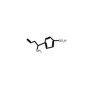 C=CCC([SiH3])c1ccc(S(=O)(=O)O)cc1